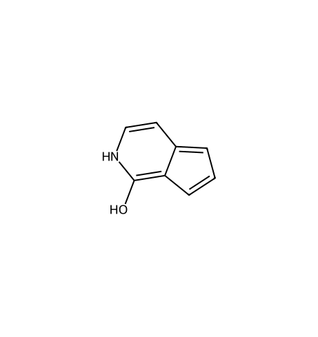 Oc1[nH]ccc2cccc1-2